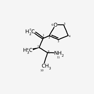 C=C(C1=CCCO1)[C@H](C)C(C)N